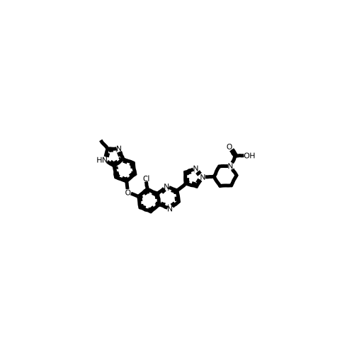 Cc1nc2ccc(Oc3ccc4ncc(-c5cnn(C6CCCN(C(=O)O)C6)c5)nc4c3Cl)cc2[nH]1